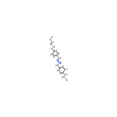 CC/C=C/CCc1ccc(C=NN=Cc2ccc(CCC)cc2)cc1